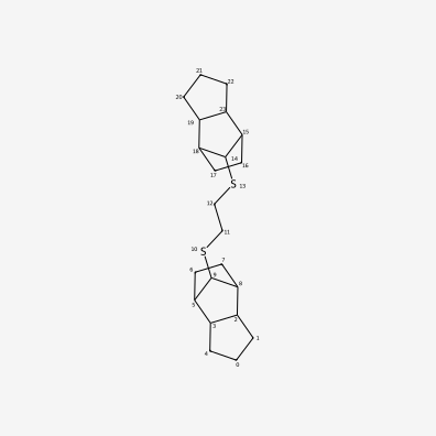 C1CC2C(C1)C1CCC2C1SCCSC1C2CCC1C1CCCC12